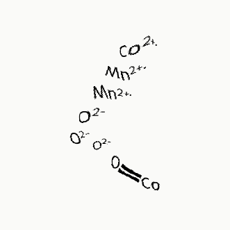 [Co+2].[Mn+2].[Mn+2].[O-2].[O-2].[O-2].[O]=[Co]